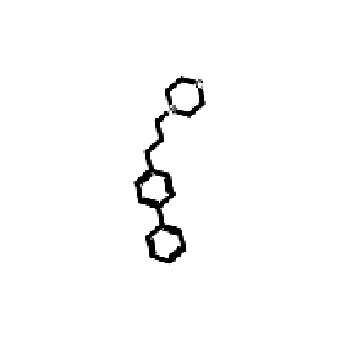 [c]1cccc(-c2ccc(CCCN3CCOCC3)cc2)c1